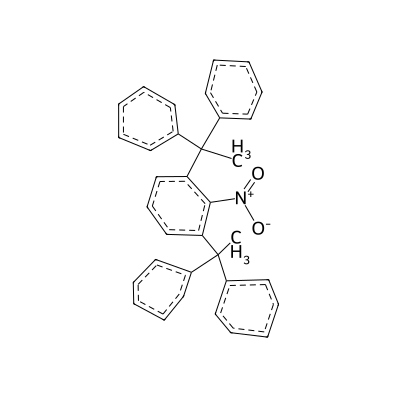 CC(c1ccccc1)(c1ccccc1)c1cccc(C(C)(c2ccccc2)c2ccccc2)c1[N+](=O)[O-]